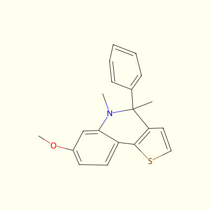 COc1ccc2c(c1)N(C)C(C)(c1ccccc1)c1ccsc1-2